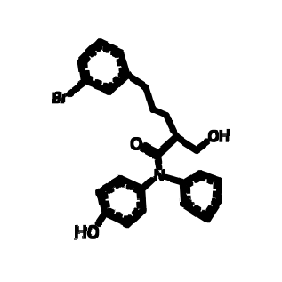 O=C(C(CO)CCCc1cccc(Br)c1)N(c1ccccc1)c1ccc(O)cc1